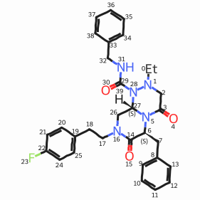 CCN1CC(=O)N2[C@@H](Cc3ccccc3)C(=O)N(CCc3ccc(F)cc3)C[C@@H]2N1C(=O)NCc1ccccc1